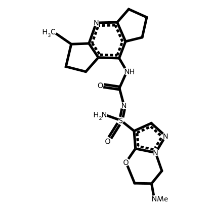 CNC1COc2c(S(N)(=O)=NC(=O)Nc3c4c(nc5c3CCC5C)CCC4)cnn2C1